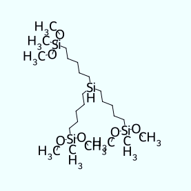 CO[Si](C)(CCCCC[SiH](CCCCC[Si](C)(OC)OC)CCCCC[Si](C)(OC)OC)OC